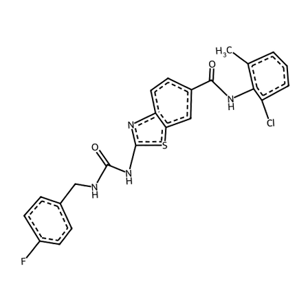 Cc1cccc(Cl)c1NC(=O)c1ccc2nc(NC(=O)NCc3ccc(F)cc3)sc2c1